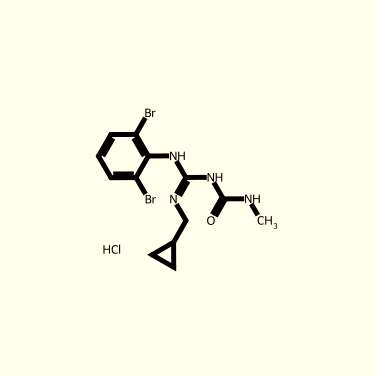 CNC(=O)NC(=NCC1CC1)Nc1c(Br)cccc1Br.Cl